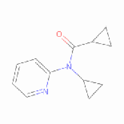 O=C(C1[CH]C1)N(c1ccccn1)C1CC1